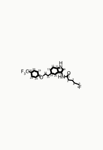 O=C(CCCCF)Nc1c[nH]c2ccc(CCOc3ccc(C(F)(F)F)cc3)cc12